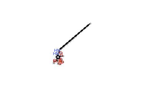 CC#CC#CC#CC#CC#CC#CC#CC#CC#CC#CNC(=O)N[C@H]1C[C@H](COC)C(OP(=O)(O)OC)[C@@H]1OC